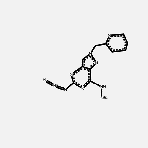 CCCCNc1nc(N=[N+]=[N-])nc2cn(Cc3ccccn3)nc12